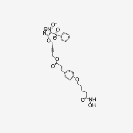 O=C(CCCCOc1ccc(C=CC(=O)OCC#CCOc2no[n+]([O-])c2S(=O)(=O)c2ccccc2)cc1)NO